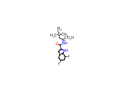 C[Si](C)(C)C[C@H](NC(=O)c1cc2cc(F)cc(F)c2[nH]1)C(=O)O